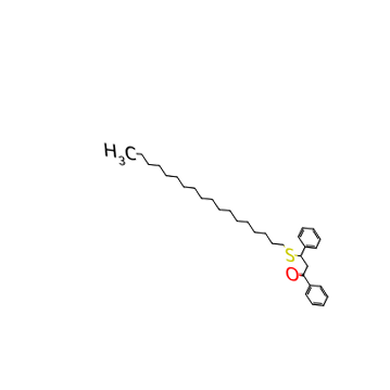 CCCCCCCCCCCCCCCCCCSC(CC(=O)c1ccccc1)c1ccccc1